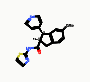 COc1ccc2c(c1)[C@H](c1ccncc1)[C@](C)(C(=O)Nc1nccs1)C2